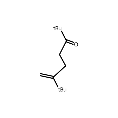 C=C(CCC(=O)C(C)(C)C)C(C)(C)C